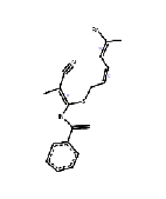 C=C(N/C(SC/C=C\C=C(/C)Br)=C(\C)C#N)c1ccccc1